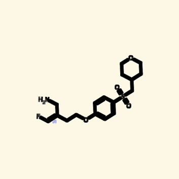 NC/C(=C\F)CCOc1ccc(S(=O)(=O)CC2CCOCC2)cc1